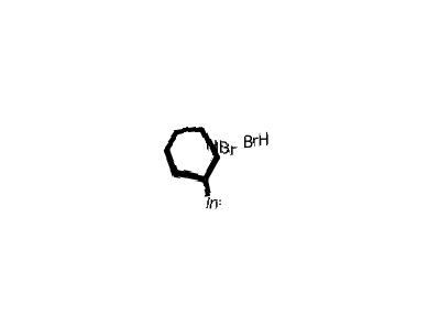 Br.Br.[In][CH]1CCCCC1